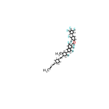 CC#CC#Cc1ccc(C#Cc2cc(F)c(-c3cc(F)c4c(F)c(C(F)(F)Oc5ccc(-c6cc(F)c(F)c(F)c6)c(F)c5)c(F)cc4c3)cc2C)cc1